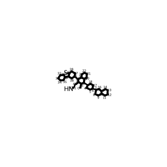 C=c1c(-c2ccc(-c3ccc4ccccc4c3)cc2)c2ccccc2c(-c2ccc3sc4ccccc4c3c2)/c1=C/C=N